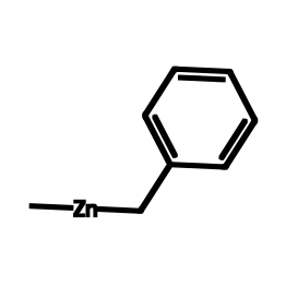 [CH3][Zn][CH2]c1ccccc1